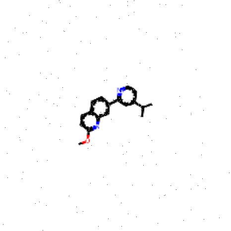 COc1ccc2ccc(-c3cc(C(C)C)ccn3)cc2n1